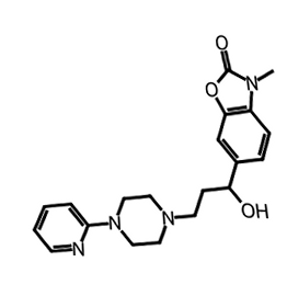 Cn1c(=O)oc2cc(C(O)CCN3CCN(c4ccccn4)CC3)ccc21